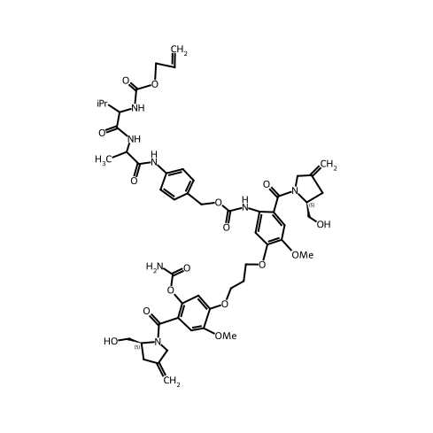 C=CCOC(=O)NC(C(=O)NC(C)C(=O)Nc1ccc(COC(=O)Nc2cc(OCCCOc3cc(OC(N)=O)c(C(=O)N4CC(=C)C[C@H]4CO)cc3OC)c(OC)cc2C(=O)N2CC(=C)C[C@H]2CO)cc1)C(C)C